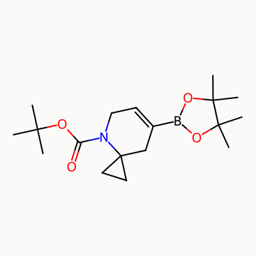 CC(C)(C)OC(=O)N1CC=C(B2OC(C)(C)C(C)(C)O2)CC12CC2